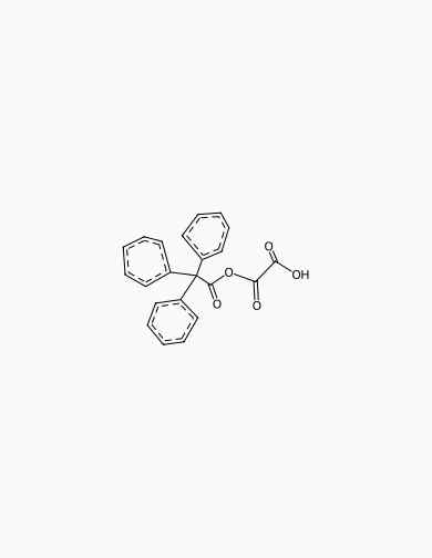 O=C(O)C(=O)OC(=O)C(c1ccccc1)(c1ccccc1)c1ccccc1